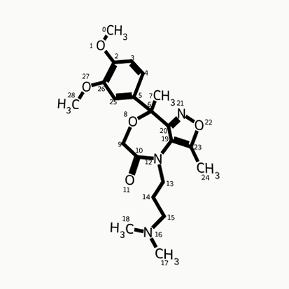 COc1ccc(C2(C)OCC(=O)N(CCCN(C)C)c3c2noc3C)cc1OC